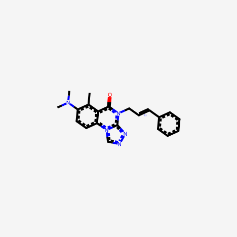 Cc1c(N(C)C)ccc2c1c(=O)n(C/C=C/c1ccccc1)c1nncn21